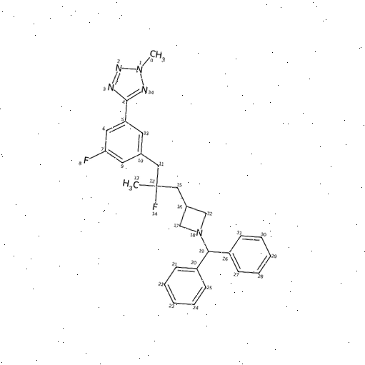 Cn1nnc(-c2cc(F)cc(CC(C)(F)CC3CN(C(c4ccccc4)c4ccccc4)C3)c2)n1